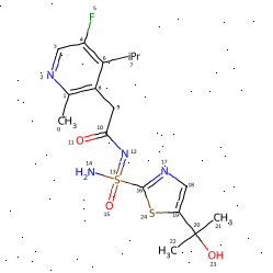 Cc1ncc(F)c(C(C)C)c1CC(=O)N=S(N)(=O)c1ncc(C(C)(C)O)s1